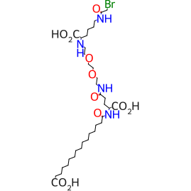 O=C(O)CCCCCCCCCCCCCCC(=O)NC(CCC(=O)NCCOCCOCCNC(CCCCNC(=O)CBr)C(=O)O)C(=O)O